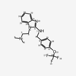 CN(C)CCn1c(NCc2ccc(OC(F)(F)F)cc2)nc2ccccc21